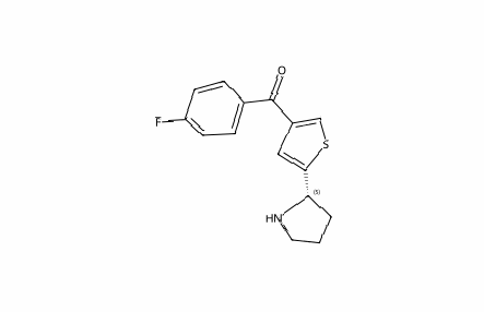 O=C(c1ccc(F)cc1)c1csc([C@@H]2CCCN2)c1